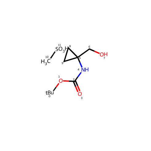 CC(C)(C)OC(=O)NC1(CO)CC1.CS(=O)(=O)O